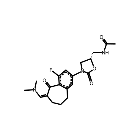 CC(=O)NC[C@H]1CN(c2cc(F)c3c(c2)CCCC(=CN(C)C)C3=O)C(=O)O1